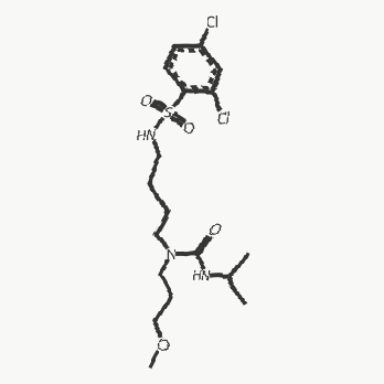 COCCCN(CCCCNS(=O)(=O)c1ccc(Cl)cc1Cl)C(=O)NC(C)C